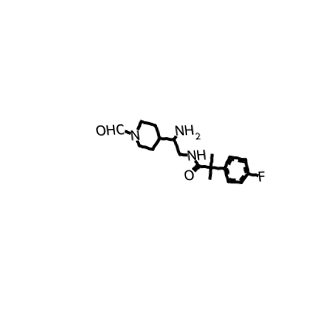 CC(C)(C(=O)NCC(N)C1CCN(C=O)CC1)c1ccc(F)cc1